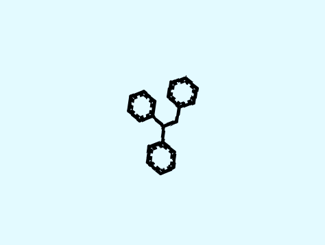 [c]1ccc(CC(c2ccccc2)c2ccccc2)cc1